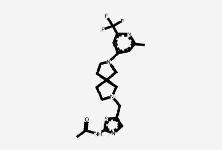 CC(=O)Nc1ncc(CN2CCC3(CCN(c4cc(C)nc(C(F)(F)F)c4)C3)C2)s1